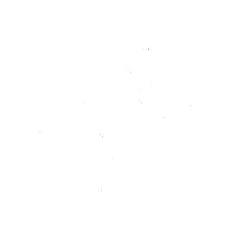 Cc1ccc2c(c1)c1cc(C)ccc1n2-c1cc(C(F)(F)F)c(-n2c3ccc(C)cc3c3cc(C)ccc32)cc1-c1cc(F)cc(F)c1